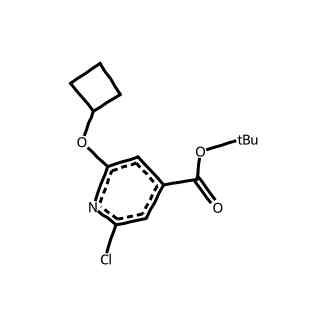 CC(C)(C)OC(=O)c1cc(Cl)nc(OC2CCC2)c1